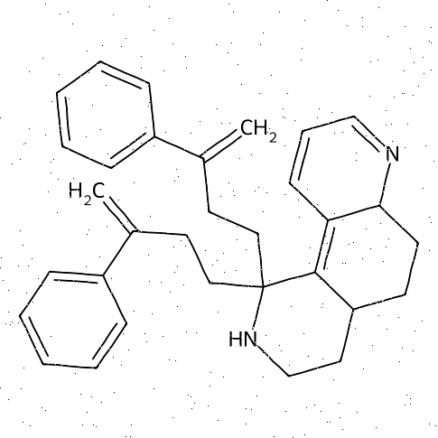 C=C(CCC1(CCC(=C)c2ccccc2)NCCC2CCC3N=CC=CC3=C21)c1ccccc1